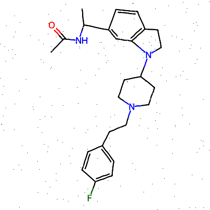 CC(=O)NC(C)c1ccc2c(c1)N(C1CCN(CCc3ccc(F)cc3)CC1)CC2